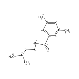 Cc1cc(C)cc(C(=O)NCCN(C)C)c1